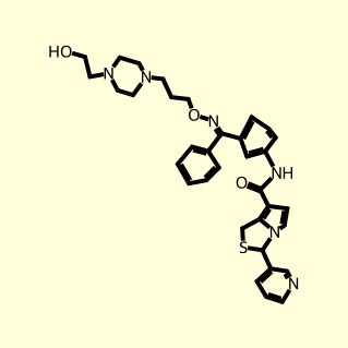 O=C(Nc1cccc(/C(=N/OCCCN2CCN(CCO)CC2)c2ccccc2)c1)c1ccn2c1CSC2c1cccnc1